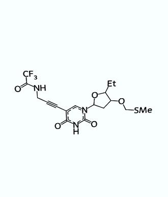 CCC1OC(n2cc(C#CCNC(=O)C(F)(F)F)c(=O)[nH]c2=O)CC1OCSC